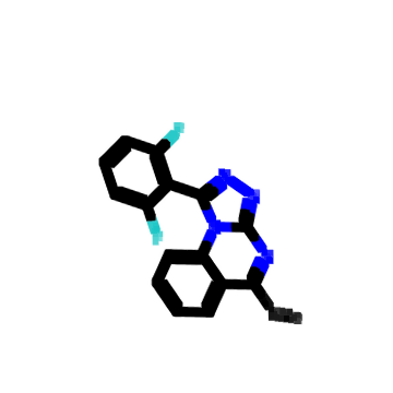 CNc1nc2nnc(-c3c(F)cccc3F)n2c2ccccc12